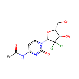 CC(C)C(=O)Nc1ccn([C@@H]2O[C@H](CO)[C@@H](O)C2(Cl)Cl)c(=O)n1